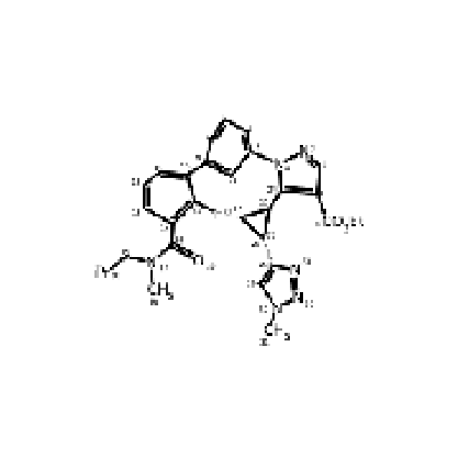 CCOC(=O)c1cnn(-c2cccc(-c3cccc(C(=O)N(C)CC(C)C)c3F)c2)c1C1C[C@H]1c1cn(C)nn1